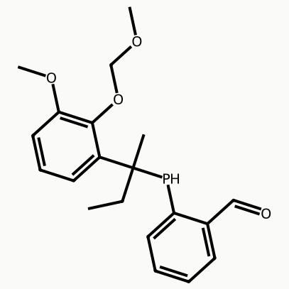 CCC(C)(Pc1ccccc1C=O)c1cccc(OC)c1OCOC